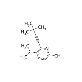 Cc1ccc(C(C)C)c(C#CC(C)(C)C)n1